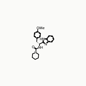 COc1ccc(C[C@@H](NC(=O)N2CCCCC2)c2nc3ccccc3[nH]2)cc1